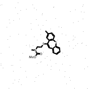 COC(=O)N(C)CCSC1=Cc2ccccc2Sc2ccc(C)cc21